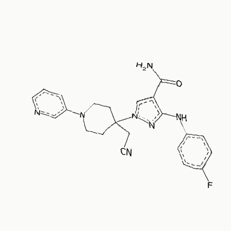 N#CCC1(n2cc(C(N)=O)c(Nc3ccc(F)cc3)n2)CCN(c2cccnc2)CC1